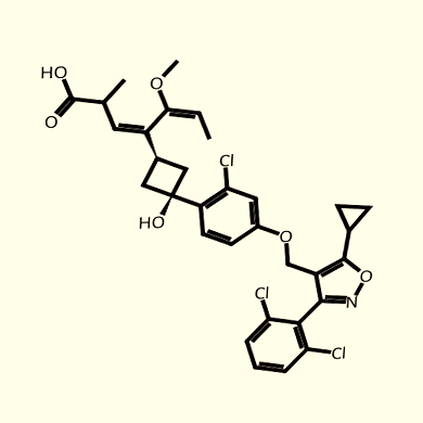 C/C=C(OC)\C(=C/C(C)C(=O)O)[C@H]1C[C@](O)(c2ccc(OCc3c(-c4c(Cl)cccc4Cl)noc3C3CC3)cc2Cl)C1